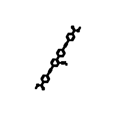 COC(=O)c1ccc(C#Cc2ccc(-c3ccc(C#Cc4ccc(C(=O)OC)cc4)cc3N)cc2)cc1